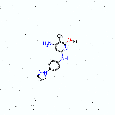 CCOc1nc(Nc2ccc(-n3cccn3)cc2)cc(N)c1C#N